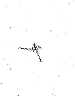 CCCCCCCCSc1cc(C(C)(C)C)c(O)c(SCCCCCCCC)c1C